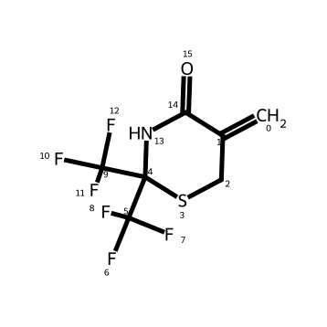 C=C1CSC(C(F)(F)F)(C(F)(F)F)NC1=O